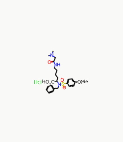 COc1ccc(S(=O)(=O)N(Cc2ccccc2)[C@H](CCCCNC(=O)CN(C)C)C(=O)O)cc1.Cl